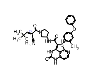 Cc1cc(Oc2ccccc2)ccc1[SH]1C(C(=O)NC2CCN(C(=O)/C(C#N)=C/C(C)(C)C)C2)=C2NC(=O)Nc3ccnc1c32